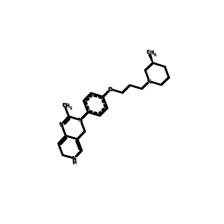 CC1=NC2=CCNC=C2CN1c1ccc(OCCCN2CCC[C@H](C)C2)cc1